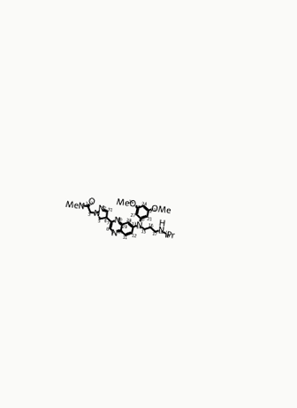 CNC(=O)CN1CC(c2cnc3ccc(N(CCCNC(C)C)c4cc(OC)cc(OC)c4)cc3n2)C=N1